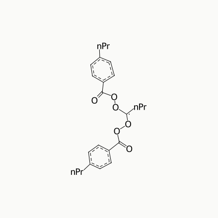 [CH2]CC[C](OOC(=O)c1ccc(CCC)cc1)OOC(=O)c1ccc(CCC)cc1